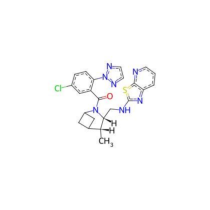 C[C@@H]1C2CC(C2)N(C(=O)c2cc(Cl)ccc2-n2nccn2)[C@@H]1CNc1nc2cccnc2s1